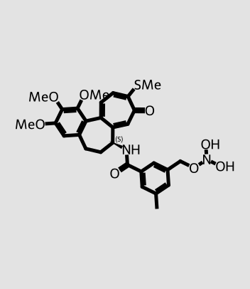 COc1cc2c(c(OC)c1OC)-c1ccc(SC)c(=O)cc1[C@@H](NC(=O)c1cc(C)cc(CON(O)O)c1)CC2